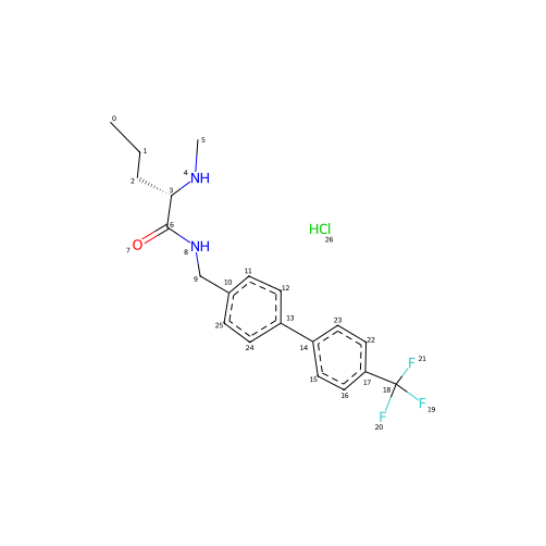 CCC[C@H](NC)C(=O)NCc1ccc(-c2ccc(C(F)(F)F)cc2)cc1.Cl